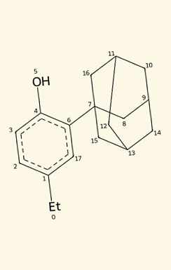 CCc1ccc(O)c(C23CC4CC(CC(C4)C2)C3)c1